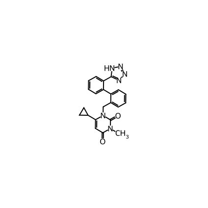 Cn1c(=O)cc(C2CC2)n(Cc2ccccc2-c2ccccc2-c2nnn[nH]2)c1=O